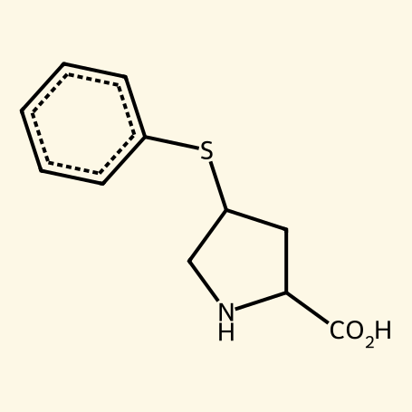 O=C(O)C1CC(Sc2ccccc2)CN1